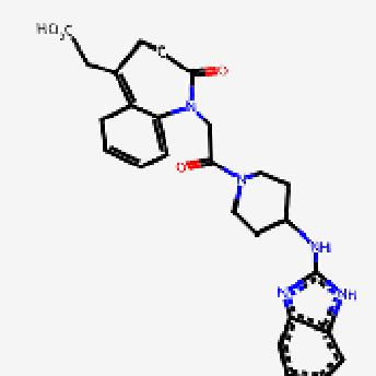 O=C(O)CC1=C2CC=CC=C2N(CC(=O)N2CCC(Nc3nc4ccccc4[nH]3)CC2)C(=O)CC1